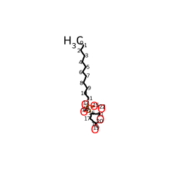 CCCCCCCCCCCCOS(=O)(=O)C1CC(=O)OC1=O